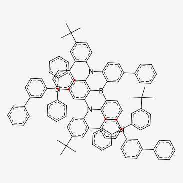 CC(C)(C)c1cccc([Si](c2ccccc2)(c2cccc(-c3ccccc3)c2)c2ccc3c(c2)N(c2ccc(C(C)(C)C)cc2-c2ccccc2)c2cc([Si](c4ccccc4)(c4ccccc4)c4cccc(-c5ccccc5)c4)cc4c2B3c2cc(-c3ccccc3)ccc2N4c2ccc(C(C)(C)C)cc2-c2ccccc2)c1